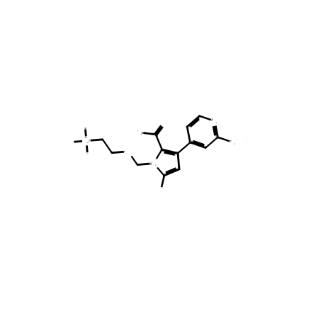 CC(=O)Nc1cc(-c2cc(Cl)n(COCC[Si](C)(C)C)c2C(N)=O)ccn1